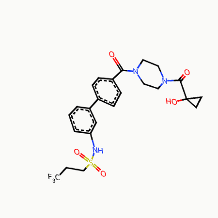 O=C(c1ccc(-c2cccc(NS(=O)(=O)CCC(F)(F)F)c2)cc1)N1CCN(C(=O)C2(O)CC2)CC1